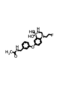 CC(=O)NCc1cccc(Oc2ccc3c(c2)S(O)(O)NCN3CCF)c1